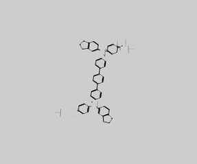 Cc1ccc(N(c2ccc(-c3ccc(-c4ccc(N(C5=CCC(C)(C)C=C5)c5ccc6c(c5)CCC6)cc4)cc3)cc2)c2ccc3c(c2)CCC3)cc1